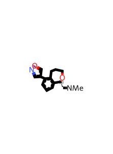 CNC[C@H]1OCCCc2c(-c3cnoc3)cccc21